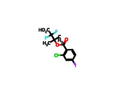 CC(C)(OC(=O)c1ccc(I)cc1Cl)C(F)(F)C(=O)O